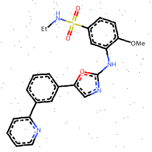 CCNS(=O)(=O)c1ccc(OC)c(Nc2ncc(-c3cccc(-c4ccccn4)c3)o2)c1